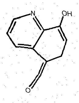 O=C=C1CC=C(O)c2ncccc21